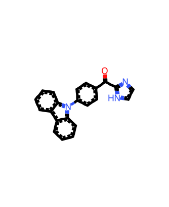 O=C(c1ccc(-n2c3ccccc3c3ccccc32)cc1)c1ncc[nH]1